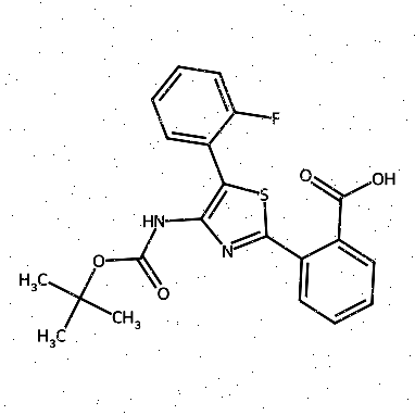 CC(C)(C)OC(=O)Nc1nc(-c2ccccc2C(=O)O)sc1-c1ccccc1F